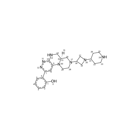 Oc1ccccc1-c1cc2c(nn1)NC[C@H]1CN(C3CN(C4CCNCC4)C3)CCN21